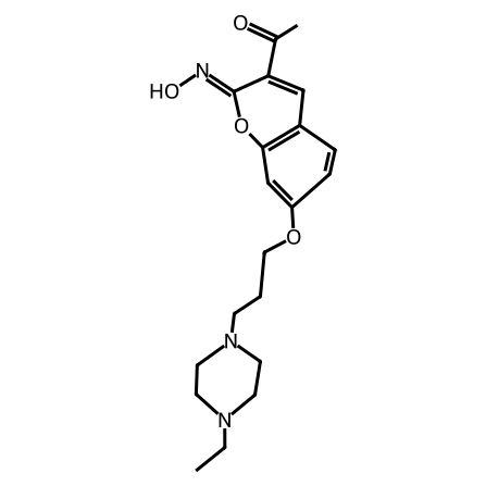 CCN1CCN(CCCOc2ccc3cc(C(C)=O)c(=NO)oc3c2)CC1